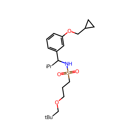 CC(C)C(NS(=O)(=O)CCCOCC(C)(C)C)c1cccc(OCC2CC2)c1